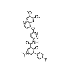 COc1cc2nccc(Oc3ccc(NC(=O)c4cn(C(C)C)cc(-c5ccc(F)cc5)c4=O)nn3)c2cc1OC